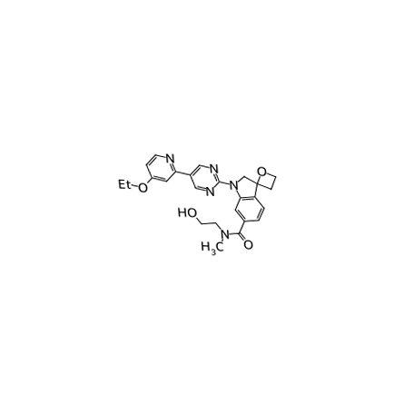 CCOc1ccnc(-c2cnc(N3CC4(CCO4)c4ccc(C(=O)N(C)CCO)cc43)nc2)c1